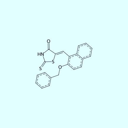 O=C1NC(=S)S/C1=C\c1c(OCc2ccccc2)ccc2ccccc12